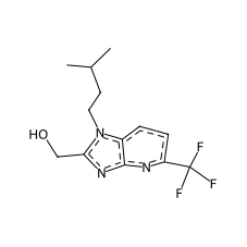 CC(C)CCn1c(CO)nc2nc(C(F)(F)F)ccc21